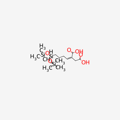 C[Si](C)(C)O[SiH](CCCC=C(CC(=O)O)C(=O)O)O[Si](C)(C)C